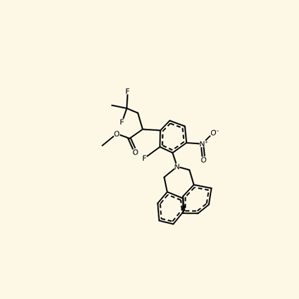 COC(=O)C(CC(C)(F)F)c1ccc([N+](=O)[O-])c(N(Cc2ccccc2)Cc2ccccc2)c1F